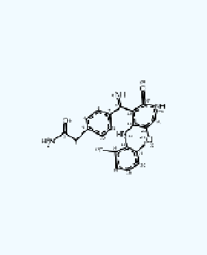 N=C(c1ccc(CC(N)=O)cc1)c1c(Nc2c(F)cccc2F)c(Cl)c[nH]c1=O